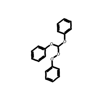 c1ccc(OOC(Oc2ccccc2)Oc2ccccc2)cc1